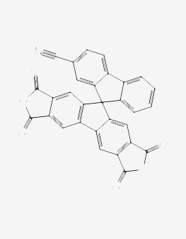 N#Cc1ccc2c(c1)C1(c3ccccc3-2)c2cc3c(cc2-c2cc4c(cc21)C(=O)OC4=O)C(=O)OC3=O